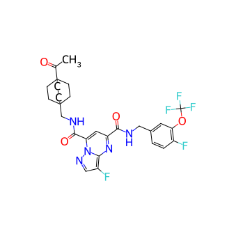 CC(=O)C12CCC(CNC(=O)c3cc(C(=O)NCc4ccc(F)c(OC(F)(F)F)c4)nc4c(F)cnn34)(CC1)CC2